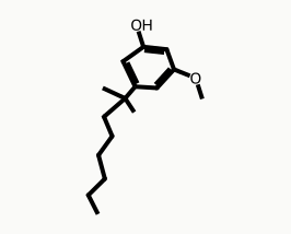 CCCCCCC(C)(C)c1cc(O)cc(OC)c1